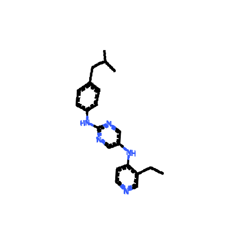 CCc1cnccc1Nc1cnc(Nc2ccc(CC(C)C)cc2)nc1